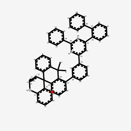 CC1(C)c2ccccc2C2(c3ccccc3Oc3ccccc32)c2cccc(-c3cccc(-c4cc(-c5ccccc5-c5ccccc5)nc(-c5ccccc5)n4)c3)c21